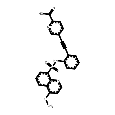 COc1ccnc2c(S(=O)(=O)Nc3ccccc3C#Cc3ccc(C(=O)O)nc3)cccc12